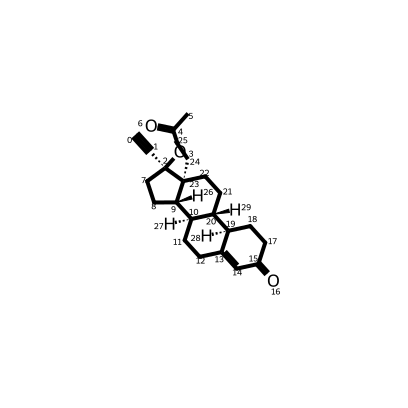 C#C[C@@]1(OC(C)=O)CC[C@H]2[C@@H]3CCC4=CC(=O)CC[C@@H]4[C@H]3CC[C@@]21CC